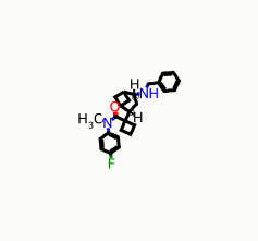 CN(C(=O)C1([C@H]2C[C@@H](NCc3ccccc3)C3CC2C3)CCC1)c1ccc(F)cc1